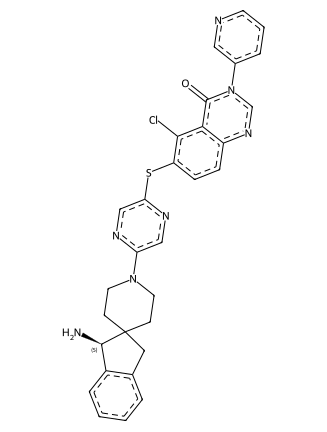 N[C@@H]1c2ccccc2CC12CCN(c1cnc(Sc3ccc4ncn(-c5cccnc5)c(=O)c4c3Cl)cn1)CC2